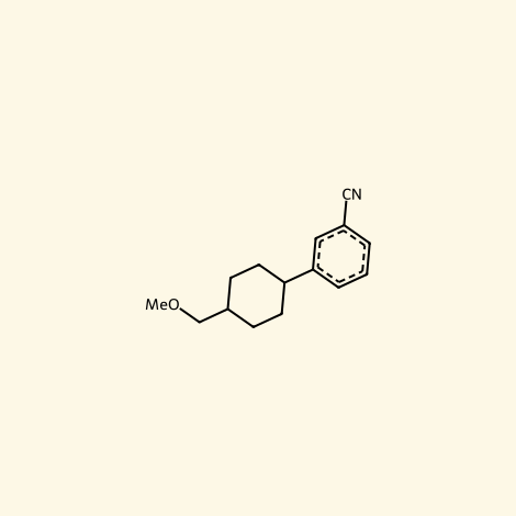 COCC1CCC(c2cccc(C#N)c2)CC1